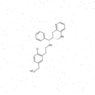 O=C(O)Cc1ccc(Cl)c(CCN[C@H](c2ccccc2)[C@H]2CNc3cccnc3C2)c1